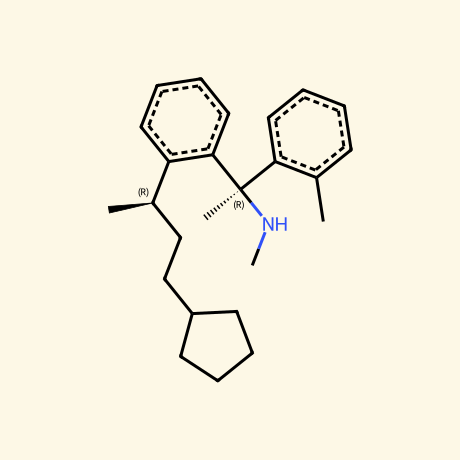 CN[C@](C)(c1ccccc1C)c1ccccc1[C@H](C)CCC1CCCC1